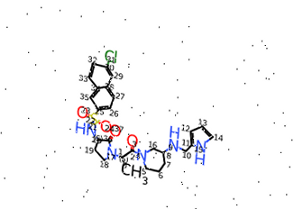 C[C@@H](C(=O)N1CCCC(NCc2ccc[nH]2)C1)N1CC[C@H](NS(=O)(=O)c2ccc3cc(Cl)ccc3c2)C1=O